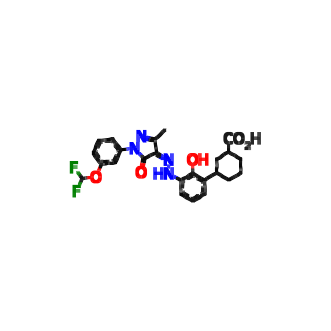 CC1=NN(c2cccc(OC(F)F)c2)C(=O)C1=NNc1cccc(C2CCCC(C(=O)O)C2)c1O